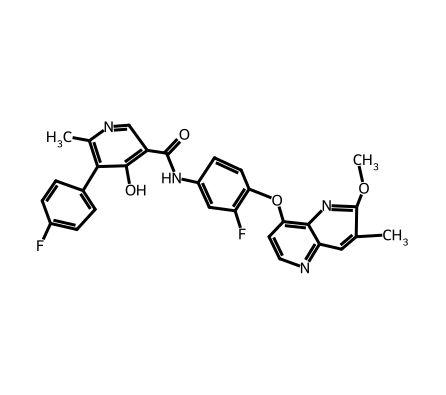 COc1nc2c(Oc3ccc(NC(=O)c4cnc(C)c(-c5ccc(F)cc5)c4O)cc3F)ccnc2cc1C